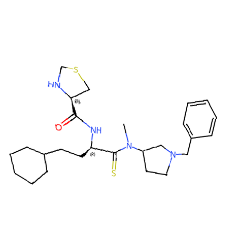 CN(C(=S)[C@@H](CCC1CCCCC1)NC(=O)[C@@H]1CSCN1)C1CCN(Cc2ccccc2)C1